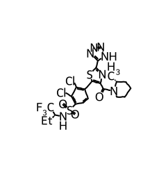 CC[C@H](NS(=O)(=O)c1ccc(-c2sc(-c3nnn[nH]3)nc2C(=O)N2CCCC[C@H]2C)c(Cl)c1Cl)C(F)(F)F